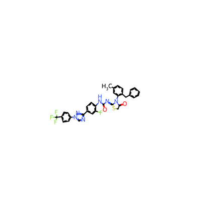 Cc1ccc(Cc2ccccc2)c(N2C(=O)CS/C2=N\C(=O)Nc2ccc(-c3ncn(-c4ccc(C(F)(F)F)cc4)n3)cc2F)c1